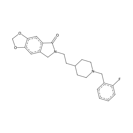 O=C1c2cc3c(cc2CN1CCC1CCN(Cc2ccccc2F)CC1)OCO3